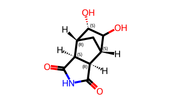 O=C1NC(=O)[C@H]2[C@@H]1[C@H]1C[C@@H]2C(O)[C@H]1O